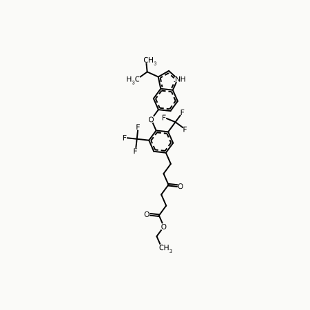 CCOC(=O)CCC(=O)CCc1cc(C(F)(F)F)c(Oc2ccc3[nH]cc(C(C)C)c3c2)c(C(F)(F)F)c1